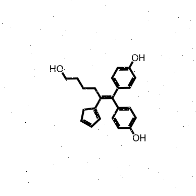 OCCCCC(C1=CC=CC1)=C(c1ccc(O)cc1)c1ccc(O)cc1